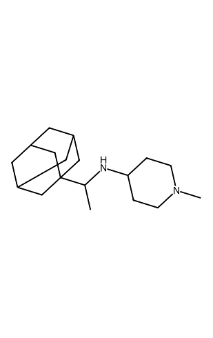 CC(NC1CCN(C)CC1)C12CC3CC(CC(C3)C1)C2